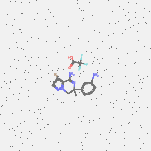 CC1(c2cccc(N)c2)Cn2ncc(Br)c2C(N)=N1.O=C(O)C(F)(F)F